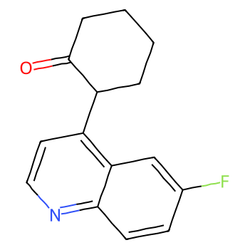 O=C1CCCCC1c1ccnc2ccc(F)cc12